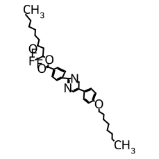 CCCCCCCCOc1ccc(-c2cnc(-c3ccc(C(=O)OC(CC(=O)CCCCCCC)C(F)(F)F)cc3)nc2)cc1